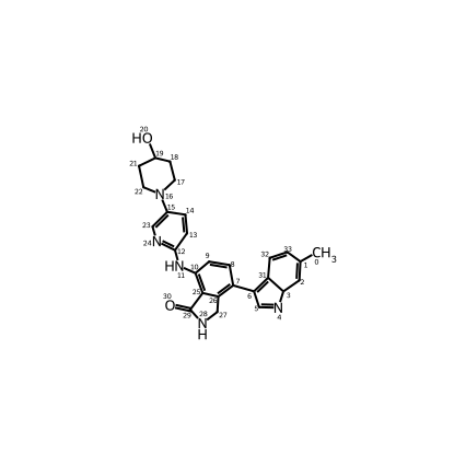 CC1=CC2N=CC(c3ccc(Nc4ccc(N5CCC(O)CC5)cn4)c4c3CNC4=O)=C2C=C1